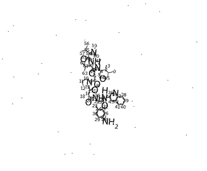 CC[C@H](C)C([C@@H](CC(=O)N1CCC[C@H]1[C@H](OC)[C@@H](C)C(=O)N[C@@H](Cc1ccc(N)cc1)C(=O)Nc1cnc2ccccc2c1)OC)N(C)C(=O)C(NC(=O)C(C(C)C)N(C)C)C(C)C